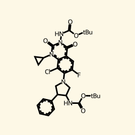 CC(C)(C)OC(=O)NC1CN(c2c(F)cc3c(=O)n(NC(=O)OC(C)(C)C)c(=O)n(C4CC4)c3c2Cl)CC1c1ccccc1